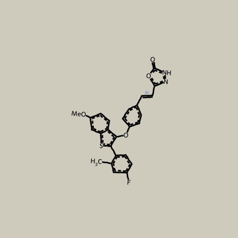 COc1ccc2c(Oc3ccc(/C=C/c4n[nH]c(=O)o4)cc3)c(-c3ccc(F)cc3C)sc2c1